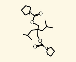 CC(C)CC(COC(=O)N1CCCC1)(COC(=O)N1CCCC1)CC(C)C